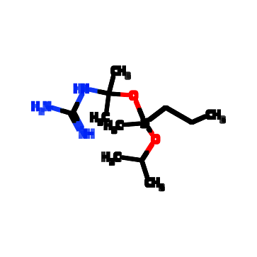 CCC[Si](C)(OC(C)C)OC(C)(C)NC(=N)N